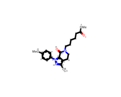 COC(=O)CCCCCN1CCc2c(C(F)(F)F)nn(-c3ccc(OC)cc3)c2C1=O